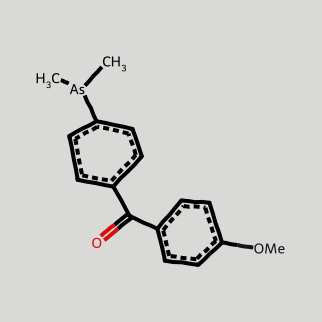 COc1ccc(C(=O)c2ccc([As](C)C)cc2)cc1